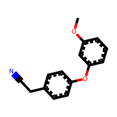 COc1cccc(Oc2ccc(CC#N)cc2)c1